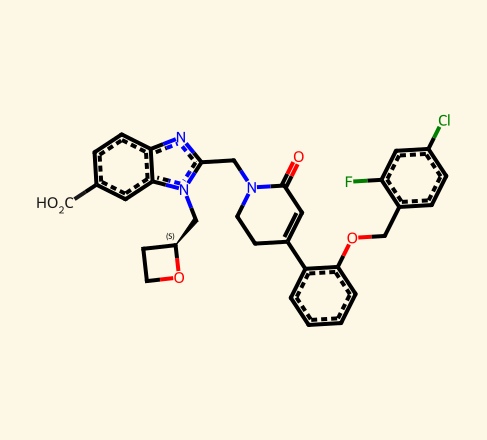 O=C(O)c1ccc2nc(CN3CCC(c4ccccc4OCc4ccc(Cl)cc4F)=CC3=O)n(C[C@@H]3CCO3)c2c1